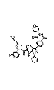 COCCN1C[C@@H](NC(=O)Nc2c(C)c(-c3cnc(OC)c(C(=O)NC4CCOCC4)c3)nn2-c2ccccc2)[C@H](c2ccnc(F)c2)O1